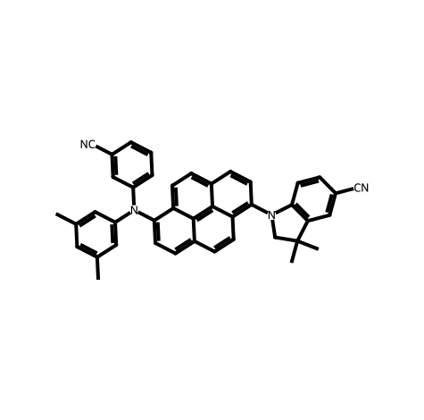 Cc1cc(C)cc(N(c2cccc(C#N)c2)c2ccc3ccc4c(N5CC(C)(C)c6cc(C#N)ccc65)ccc5ccc2c3c54)c1